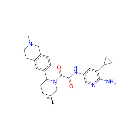 C[C@H]1CCC(c2ccc3c(c2)CCN(C)C3)N(C(=O)C(=O)Nc2cnc(N)c(C3CC3)c2)C1